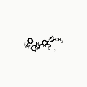 COc1nc(-c2cn3c(n2)[C@@H](c2ccccc2C(F)(F)F)CCC3)ccc1-n1cnc(C)c1